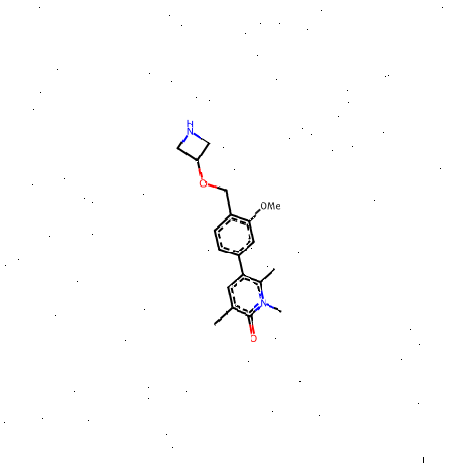 COc1cc(-c2cc(C)c(=O)n(C)c2C)ccc1COC1CNC1